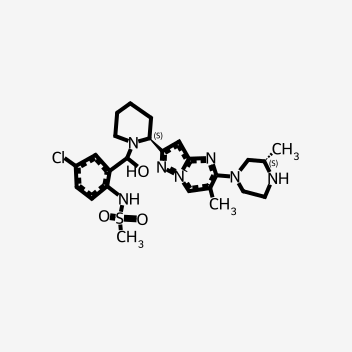 Cc1cn2nc([C@@H]3CCCCN3C(O)c3cc(Cl)ccc3NS(C)(=O)=O)cc2nc1N1CCN[C@@H](C)C1